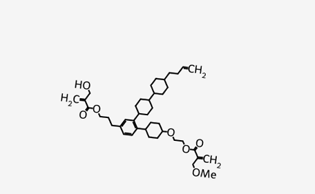 C=CCCC1CCC(C2CCC(c3cc(CCCOC(=O)C(=C)CO)ccc3C3CCC(OCCOC(=O)C(=C)COC)CC3)CC2)CC1